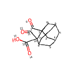 O=CC12CC3CC(CC(C3)C1(C=O)C(=O)O)C2